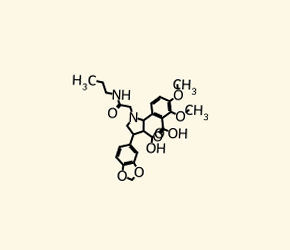 CCCNC(=O)CN1CC(c2ccc3c(c2)OCO3)C(C(=O)O)C1c1ccc(OC)c(OC)c1C(=O)O